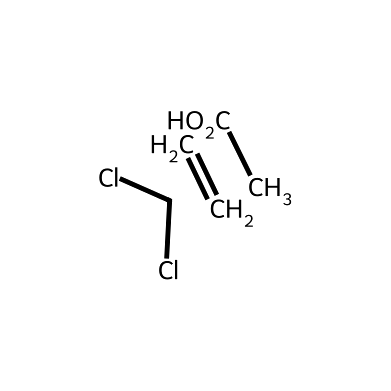 C=C.CC(=O)O.ClCCl